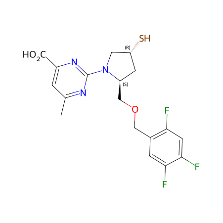 Cc1cc(C(=O)O)nc(N2C[C@H](S)C[C@H]2COCc2cc(F)c(F)cc2F)n1